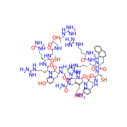 N=C(N)NCCC[C@H](NC(=O)[C@H](CS)NC(=O)[C@H](CCCNC(N)=O)NC(=O)[C@H](CCCNC(=N)N)NC(=O)[C@H](Cc1ccc(O)cc1)NC(=O)[C@@H]1CCCN1C(=O)[C@H](CCCCN)NC(=O)[C@H](CCCNC(N)=O)NC(=O)[C@H](Cc1ccc(O)cc1)NC(=O)[C@H](CS)NC(=O)[C@H](Cc1ccc2ccccc2c1)NC(=O)[C@H](CCCNC(=N)N)NC(=O)[C@@H](N)CCCNC(=N)N)C(=O)O